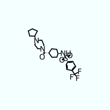 O=C([C@H]1CC[C@H](NS(=O)(=O)c2ccc(C(F)(F)F)cc2)CC1)N1CCN(C2CCCC2)CC1